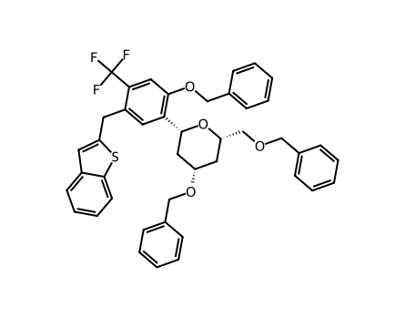 FC(F)(F)c1cc(OCc2ccccc2)c([C@H]2C[C@@H](OCc3ccccc3)C[C@@H](COCc3ccccc3)O2)cc1Cc1cc2ccccc2s1